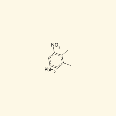 Cc1cccc([N+](=O)[O-])c1C.[PbH2]